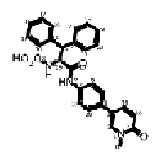 Cn1cc(-c2ccc(NC(=O)[C@@H](NC(=O)O)C(c3ccccc3)c3ccccc3)cc2)ccc1=O